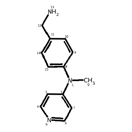 CN(c1ccncc1)c1ccc(CN)cc1